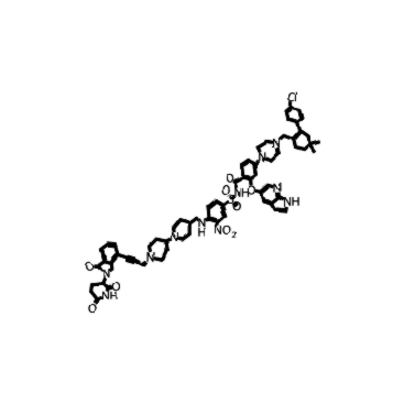 CC1(C)CCC(CN2CCN(c3ccc(C(=O)NS(=O)(=O)c4ccc(NCC5CCN(C6CCN(CC#Cc7cccc8c7CN(C7CCC(=O)NC7=O)C8=O)CC6)CC5)c([N+](=O)[O-])c4)c(Oc4cnc5[nH]ccc5c4)c3)CC2)=C(c2ccc(Cl)cc2)C1